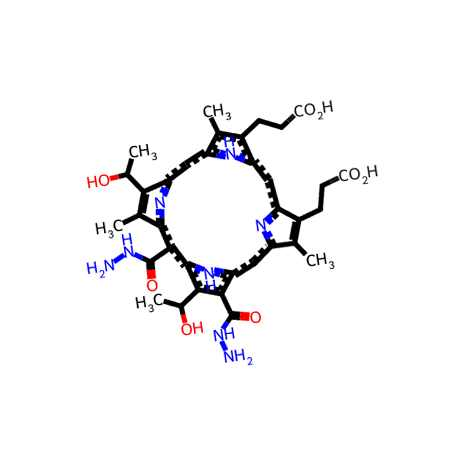 CC1=C(CCC(=O)O)c2cc3[nH]c(cc4nc(c(C(=O)NN)c5[nH]c(cc1n2)c(C(=O)NN)c5C(C)O)C(C)=C4C(C)O)c(C)c3CCC(=O)O